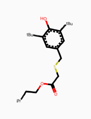 CC(C)CCOC(=O)CSCc1cc(C(C)(C)C)c(O)c(C(C)(C)C)c1